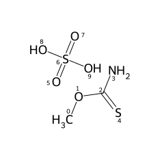 COC(N)=S.O=S(=O)(O)O